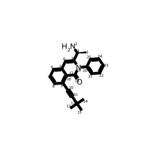 C[C@H](N)c1cc2cccc(C#CC(C)(C)C)c2c(=O)n1-c1ccccc1